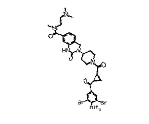 CN(C)CCN(C)C(=O)c1ccc2c(c1)NC(=O)N(C1CCN(C(=O)C3CC3C(=O)c3cc(Br)c(N)c(Br)c3)CC1)C2